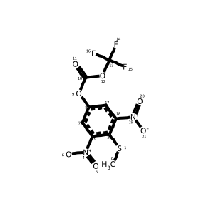 CSc1c([N+](=O)[O-])cc(OC(=O)OC(F)(F)F)cc1[N+](=O)[O-]